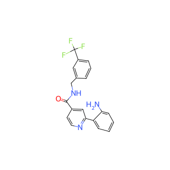 Nc1ccccc1-c1cc(C(=O)NCc2cccc(C(F)(F)F)c2)ccn1